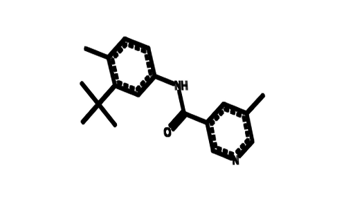 Cc1cncc(C(=O)Nc2ccc(C)c(C(C)(C)C)c2)c1